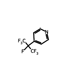 FC(F)(F)C(F)(c1c[c]ncc1)C(F)(F)F